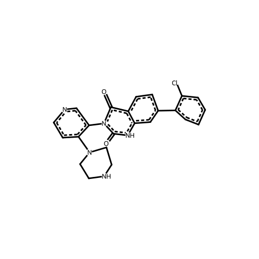 O=c1[nH]c2cc(-c3ccccc3Cl)ccc2c(=O)n1-c1cnccc1N1CCNCC1